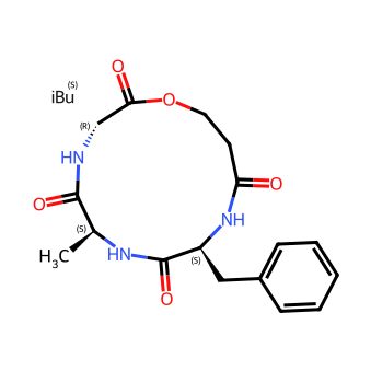 CC[C@H](C)[C@H]1NC(=O)[C@H](C)NC(=O)[C@H](Cc2ccccc2)NC(=O)CCOC1=O